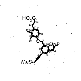 CSCC#Cc1cc(COc2ccc(CCC(=O)O)c(C)c2C)c2oc(C)cc2c1